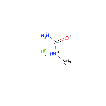 F.NC(=O)N[SiH3]